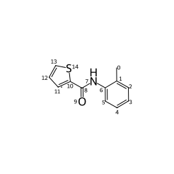 Cc1ccccc1NC(=O)c1[c]ccs1